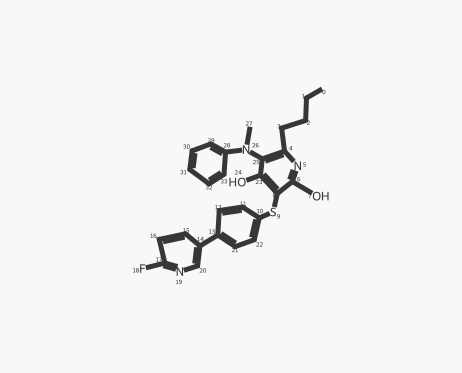 CCCCc1nc(O)c(Sc2ccc(-c3ccc(F)nc3)cc2)c(O)c1N(C)c1ccccc1